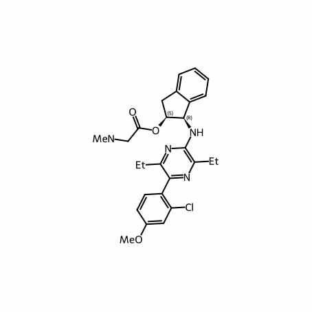 CCc1nc(-c2ccc(OC)cc2Cl)c(CC)nc1N[C@@H]1c2ccccc2C[C@@H]1OC(=O)CNC